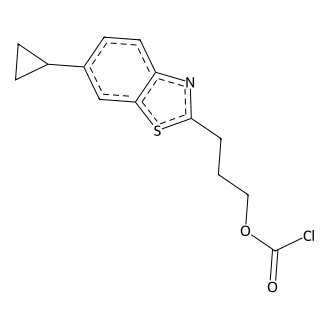 O=C(Cl)OCCCc1nc2ccc(C3CC3)cc2s1